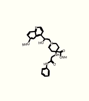 COC(=O)C1(NCC(=O)Nc2ccccc2)CCN(CC(O)c2ccnc3ccc(OC)cc23)CC1